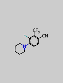 N#Cc1ccc(N2CCCCC2)c(F)c1C(F)(F)F